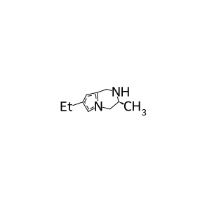 CCc1cc2n(c1)C[C@H](C)NC2